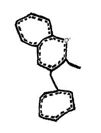 Cc1[o+]c2ccccc2cc1-c1ccccc1